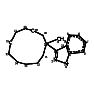 CC1(C2=N[N]c3ccccc32)CCCCCCCCCC1